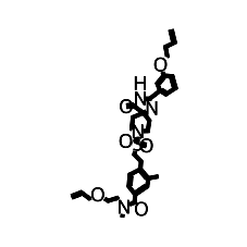 C=CCCOc1cccc(C2=NC3(CCN(S(=O)(=O)CCc4ccc(C(=O)N(C)CCOCC=C)cc4C)CC3)C(=O)N2)c1